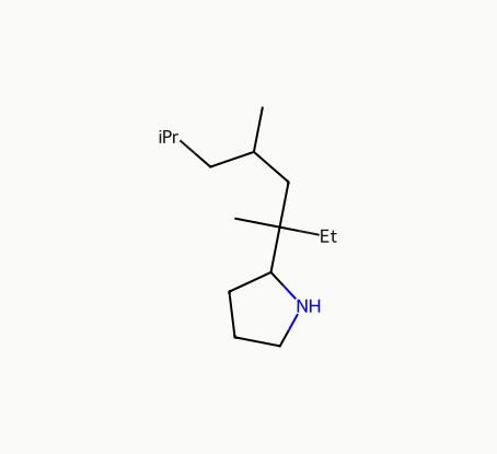 CCC(C)(CC(C)CC(C)C)C1CCCN1